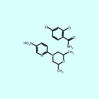 CC1CN(c2ccc(S(=O)(=O)O)cn2)CC(C)O1.NC(=O)c1ccc(Cl)cc1Cl